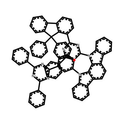 c1ccc(-c2nc(-c3ccccc3)nc(-c3cccc(-n4c5ccccc5c5ccc6c7ccccc7n(-c7nc(-c8ccccc8)nc(-c8cccc9c8C(c8ccccc8)(c8ccccc8)c8ccccc8-9)n7)c6c54)c3)n2)cc1